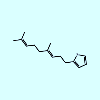 CC(C)=CCC/C(C)=C/CCc1cccs1